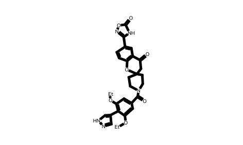 CCOc1cc(C(=O)N2CCC3(CC2)CC(=O)c2cc(-c4noc(=O)[nH]4)ccc2O3)cc(OCC)c1-c1cn[nH]c1